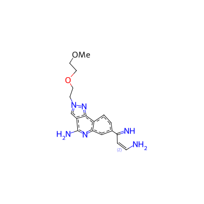 COCCOCCn1cc2c(N)nc3cc(C(=N)/C=C\N)ccc3c2n1